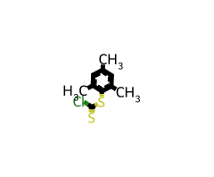 Cc1cc(C)c(SC(=S)Cl)c(C)c1